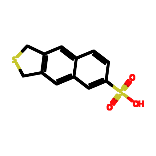 O=S(=O)(O)c1ccc2cc3c(cc2c1)CSC3